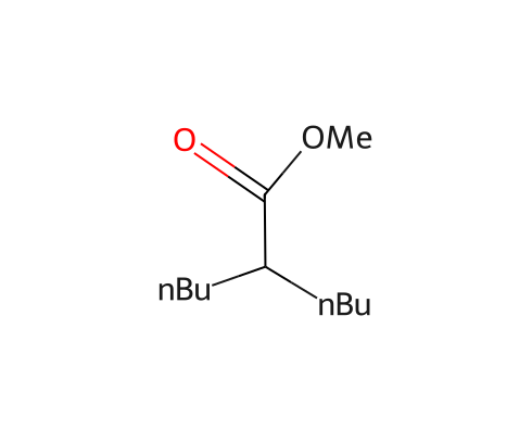 CCCCC(CCCC)C(=O)OC